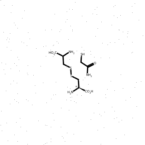 NC(=O)CS.NC(CSSC[C@H](N)C(=O)O)C(=O)O